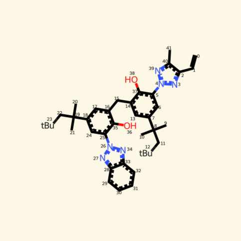 C=Cc1nn(-c2cc(C(C)(C)CC(C)(C)C)cc(Cc3cc(C(C)(C)CC(C)(C)C)cc(-n4nc5ccccc5n4)c3O)c2O)nc1C